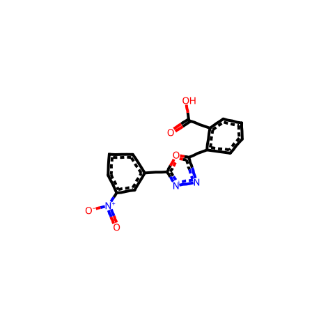 O=C(O)c1ccccc1-c1nnc(-c2cccc([N+](=O)[O-])c2)o1